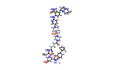 Cc1ncsc1-c1ccc([C@H](C)NC(=O)[C@@H]2C[C@@H](O)CN2C(=O)[C@@H](NC(=O)CCCC(=O)N2CCN(CC3(O)CCN(c4ccc(Nc5ccc(-c6cnc7cc(F)ccn67)c6c5C(=O)NC6)nc4)CC3)CC2)C(C)(C)C)cc1